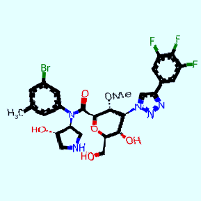 CO[C@@H]1[C@@H](n2cc(-c3cc(F)c(F)c(F)c3)nn2)[C@@H](O)[C@@H](CO)O[C@H]1C(=O)N(c1cc(C)cc(Br)c1)[C@H]1CNC[C@@H]1O